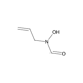 C=CCN(O)[C]=O